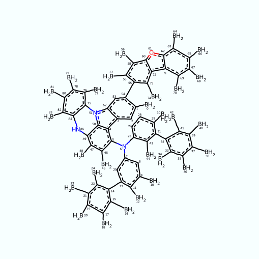 Bc1cc2c3c(N(c4cc(B)c(B)c(-c5c(B)c(B)c(B)c(B)c5B)c4)c4ccc(B)c(-c5c(B)c(B)c(B)c(B)c5B)c4B)c(B)c(B)c4c3n(c2cc1-c1c(B)c(B)c2oc3c(B)c(B)c(B)c(B)c3c2c1B)-c1c(B)c(B)c(B)c(B)c1N4